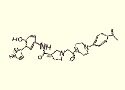 C=C(C)c1ccc(N2CCN(C(=O)CN3CC[C@@H](C(=O)Nc4ccc(O)c(-c5cc[nH]n5)c4)C3)CC2)cc1